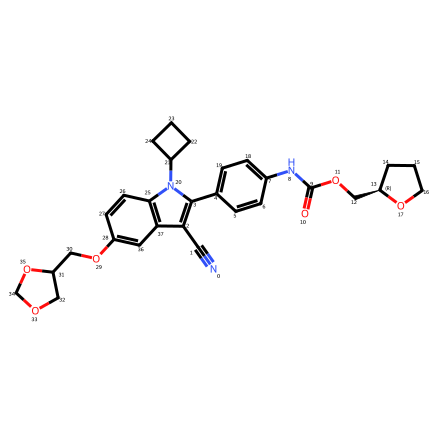 N#Cc1c(-c2ccc(NC(=O)OC[C@H]3CCCO3)cc2)n(C2CCC2)c2ccc(OCC3COCO3)cc12